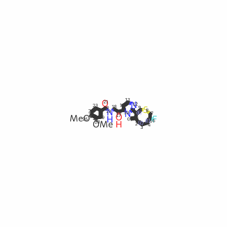 C=C1/C=C\C=C(\F)CS/C=C\1c1nccc(C(O)CNC(=O)c2ccc(OC)c(OC)c2)n1